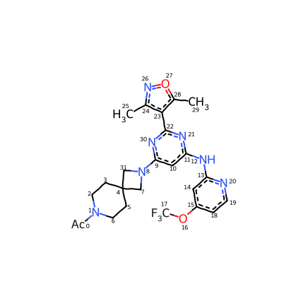 CC(=O)N1CCC2(CC1)CN(c1cc(Nc3cc(OC(F)(F)F)ccn3)nc(-c3c(C)noc3C)n1)C2